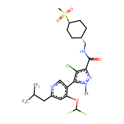 CCn1nc(C(=O)NC[C@H]2CC[C@H](S(C)(=O)=O)CC2)c(Cl)c1-c1cnc(CC(C(F)(F)F)C(F)(F)F)cc1OC(F)F